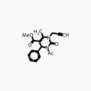 C#CCN1C(=O)N(C(C)=O)C(c2ccccc2)C(C(=O)OC)=C1C